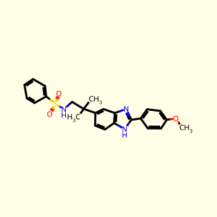 COc1ccc(-c2nc3cc(C(C)(C)CNS(=O)(=O)c4ccccc4)ccc3[nH]2)cc1